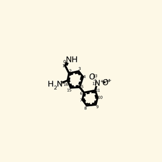 N=Cc1ccc(-c2ccccc2[N+](=O)[O-])cc1N